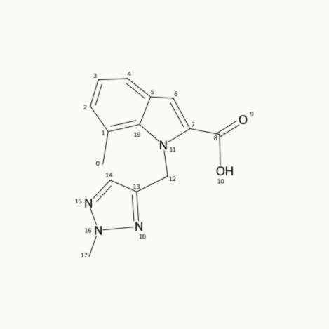 Cc1cccc2cc(C(=O)O)n(Cc3cnn(C)n3)c12